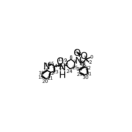 CC1(C)OC(=O)N(C2CCC(NC(=O)c3cnc4ccccc4c3)CC2)[C@@H]1c1ccccc1